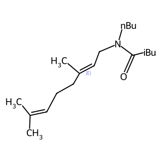 CCCCN(C/C=C(\C)CCC=C(C)C)C(=O)C(C)CC